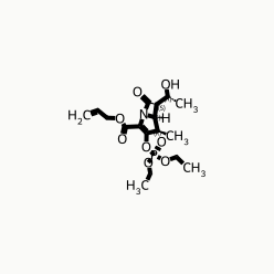 C=CCOC(=O)C1=C(OP(=O)(OCC)OCC)[C@H](C)[C@@H]2[C@@H]([C@@H](C)O)C(=O)N12